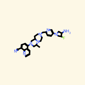 CC1CN(c2ccc(C#N)c3ncccc23)CC2CCN(Cc3ccc(N4CC(N)C(F)C4)cn3)CCN12